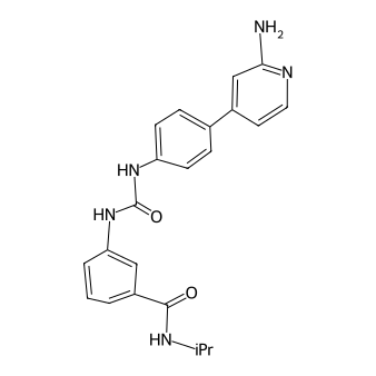 CC(C)NC(=O)c1cccc(NC(=O)Nc2ccc(-c3ccnc(N)c3)cc2)c1